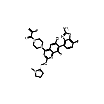 C=C(F)C(=O)N1CCN(c2nc(OC[C@@H]3CCCN3C)nc3c(F)c(-c4ccc(F)c5sc(N)nc45)c(Cl)cc23)CC1